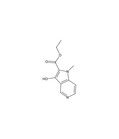 CCOC(=O)c1c(O)c2cnccc2n1C